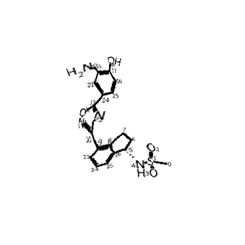 CS(=O)(=O)N[C@H]1CCc2c(-c3noc(-c4ccc(O)c(N)c4)n3)cccc21